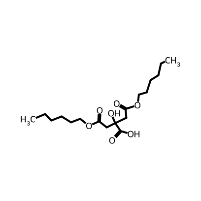 CCCCCCOC(=O)CC(O)(CC(=O)OCCCCCC)C(=O)O